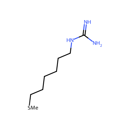 CSCCCCCCNC(=N)N